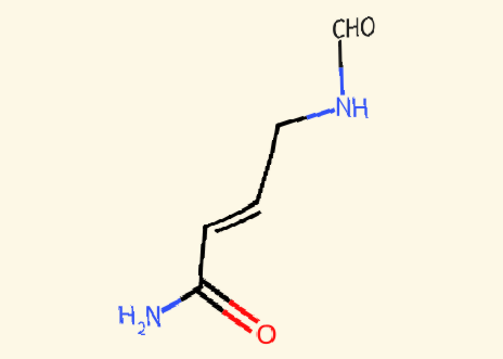 NC(=O)/C=C/CNC=O